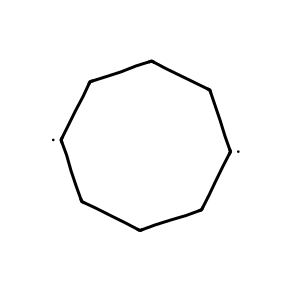 [CH]1CCC[CH]CCC1